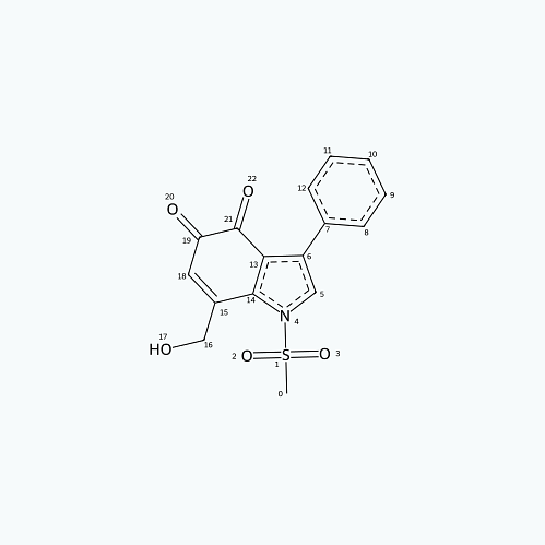 CS(=O)(=O)n1cc(-c2ccccc2)c2c1C(CO)=CC(=O)C2=O